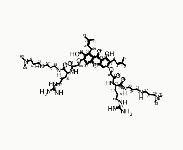 CC(C)=CCc1c(OCC(=O)NC(CCCNC(=N)N)C(=O)NCCCNCCCN(C)C)cc2oc3cc(OCC(=O)NC(CCCNC(=N)N)C(=O)NCCCNCCCN(C)C)c(CO)c(CC=C(C)C)c3c(=O)c2c1O